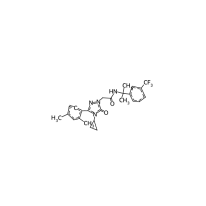 Cc1ccc(-c2nn(CC(=O)NC(C)(C)c3cccc(C(F)(F)F)c3)c(=O)n2C2CC2)c(C)c1